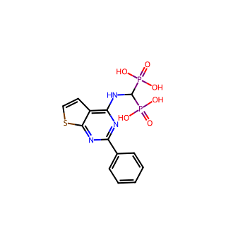 O=P(O)(O)C(Nc1nc(-c2ccccc2)nc2sccc12)P(=O)(O)O